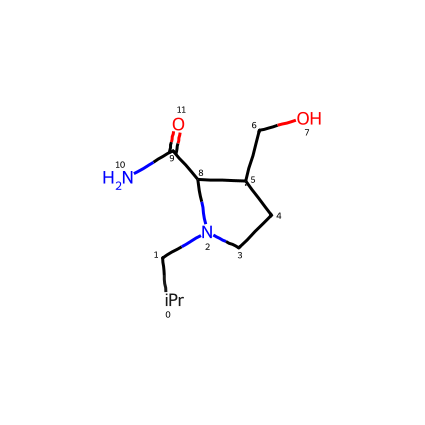 CC(C)CN1CC[C](CO)C1C(N)=O